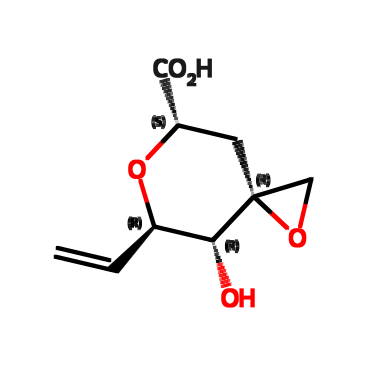 C=C[C@H]1O[C@H](C(=O)O)C[C@@]2(CO2)[C@@H]1O